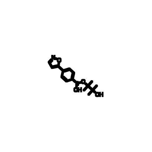 CC(C)(O)C(C)(C)OB(O)c1ccc(-c2ccno2)cc1